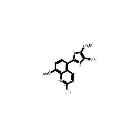 CCOC(=O)c1sc(-c2ccc(OC)c3nc(C(F)(F)F)ccc23)nc1C